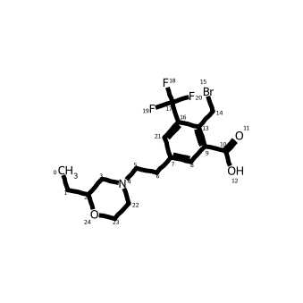 CCC1CN(CCc2cc(C(=O)O)c(CBr)c(C(F)(F)F)c2)CCO1